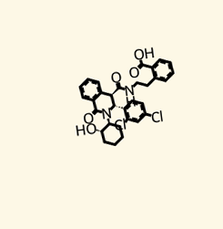 O=C(O)c1ccccc1CCNC(=O)[C@@H]1c2ccccc2C(=O)N([C@H]2CCCC[C@@H]2O)[C@H]1c1ccc(Cl)cc1Cl